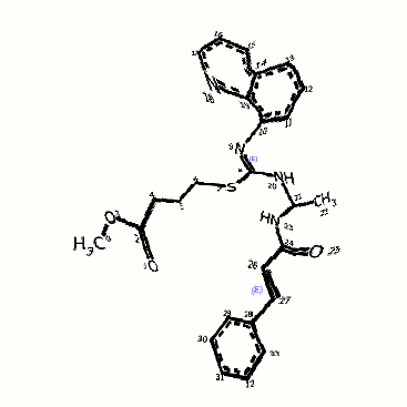 COC(=O)CCCS/C(=N/c1cccc2cccnc12)NC(C)NC(=O)/C=C/c1ccccc1